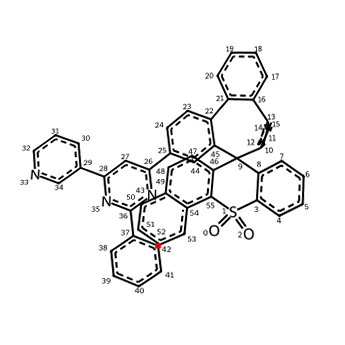 O=S1(=O)c2ccccc2C2(c3ccccc3-c3ccccc3-c3ccc(-c4cc(-c5cccnc5)nc(-c5ccccc5)n4)cc32)c2ccc3ccccc3c21